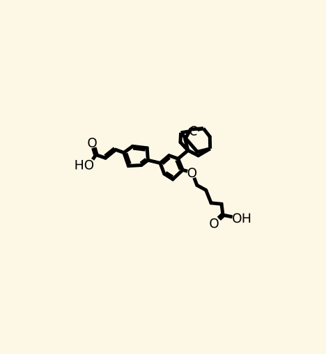 O=C(O)/C=C/c1ccc(-c2ccc(OCCCCC(=O)O)c(C34CCC5CC(CC(C5)C3)C4)c2)cc1